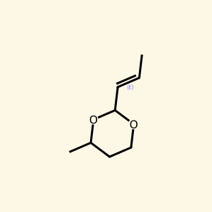 C/C=C/C1OCCC(C)O1